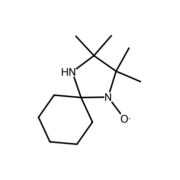 CC1(C)NC2(CCCCC2)N([O])C1(C)C